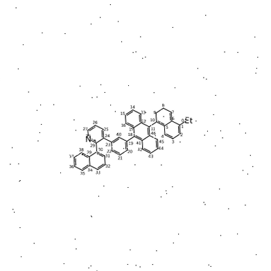 CCc1cccc2c1=CCCC=2c1c2ccccc2c(-c2cccc(-c3cccnc3-c3cccc4ccccc34)c2)c2ccccc12